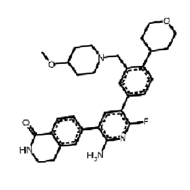 COC1CCN(Cc2cc(-c3cc(-c4ccc5c(c4)CCNC5=O)c(N)nc3F)ccc2C2CCOCC2)CC1